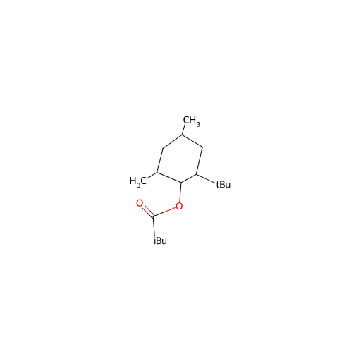 CCC(C)C(=O)OC1C(C)CC(C)CC1C(C)(C)C